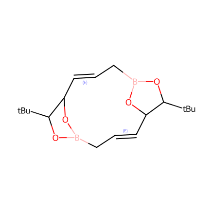 CC(C)(C)C1OB2C/C=C/C3OB(C/C=C/C1O2)OC3C(C)(C)C